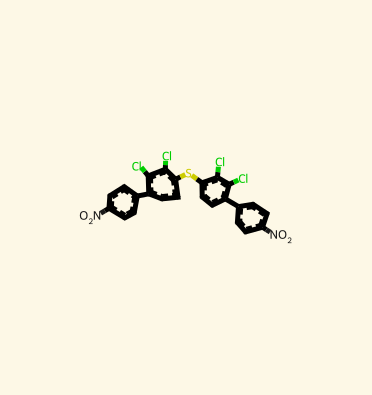 O=[N+]([O-])c1ccc(-c2ccc(Sc3ccc(-c4ccc([N+](=O)[O-])cc4)c(Cl)c3Cl)c(Cl)c2Cl)cc1